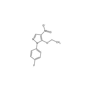 CCOc1c([N+](=O)[O-])cnn1-c1ccc(F)cc1